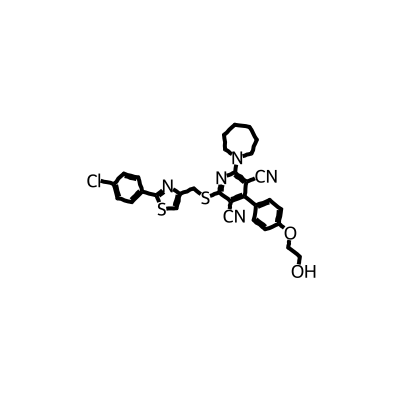 N#Cc1c(SCc2csc(-c3ccc(Cl)cc3)n2)nc(N2CCCCCC2)c(C#N)c1-c1ccc(OCCO)cc1